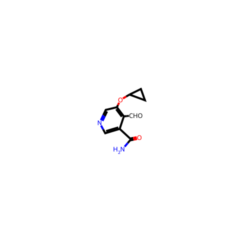 NC(=O)c1cncc(OC2CC2)c1C=O